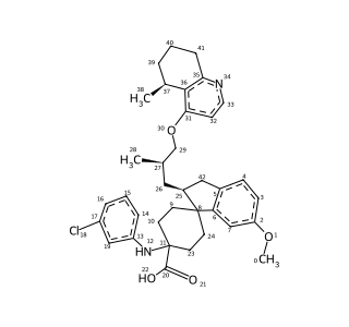 COc1ccc2c(c1)C1(CCC(Nc3cccc(Cl)c3)(C(=O)O)CC1)[C@@H](C[C@@H](C)COc1ccnc3c1[C@@H](C)CCC3)C2